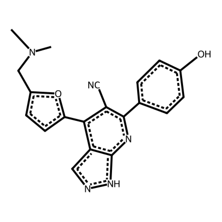 CN(C)Cc1ccc(-c2c(C#N)c(-c3ccc(O)cc3)nc3[nH]ncc23)o1